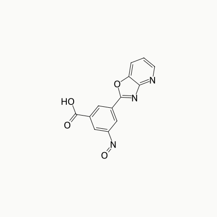 O=Nc1cc(C(=O)O)cc(-c2nc3ncccc3o2)c1